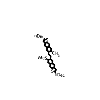 CCCCCCCCCCc1cc2cc3cc(/C=C/c4cc5cc6cc(CCCCCCCCCC)sc6cc5cc4SC)c(C)cc3cc2s1